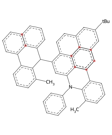 Cc1cccc(-c2ccccc2)c1C(c1ccccc1)c1cc(N(c2ccccc2)c2c(C)cccc2-c2ccccc2)c2ccc3cc(C(C)(C)C)cc4ccc1c2c43